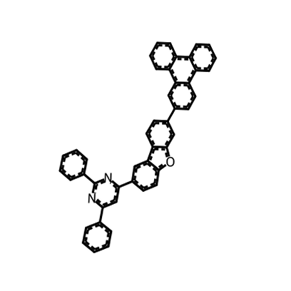 c1ccc(-c2cc(-c3ccc4oc5cc(-c6ccc7c8ccccc8c8ccccc8c7c6)ccc5c4c3)nc(-c3ccccc3)n2)cc1